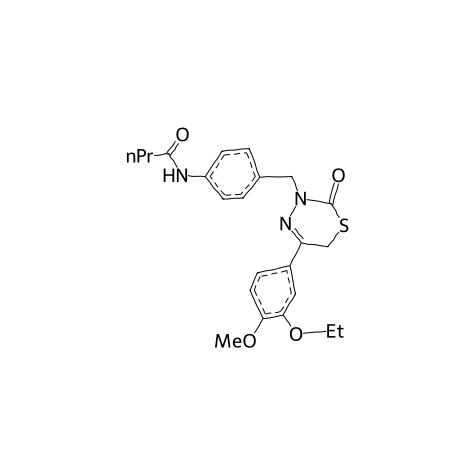 CCCC(=O)Nc1ccc(CN2N=C(c3ccc(OC)c(OCC)c3)CSC2=O)cc1